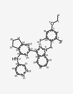 CCOc1cc(F)c(Cn2nc(-c3nc4c(c(Nc5ccnnc5)n3)CCC4)c3ccccc32)c(F)c1